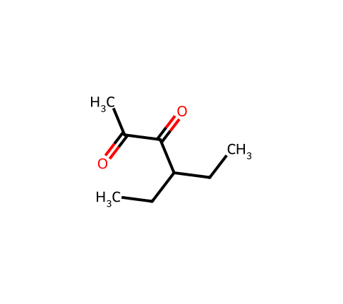 CCC(CC)C(=O)C(C)=O